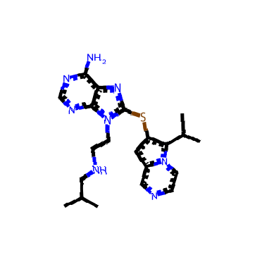 CC(C)CNCCn1c(Sc2cc3cnccn3c2C(C)C)nc2c(N)ncnc21